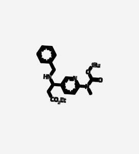 CCOC(=O)CC(NCc1ccccc1)c1ccc(N(C)C(=O)OC(C)(C)C)nc1